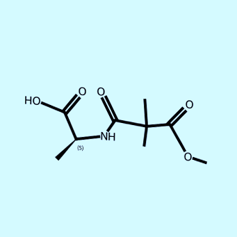 COC(=O)C(C)(C)C(=O)N[C@@H](C)C(=O)O